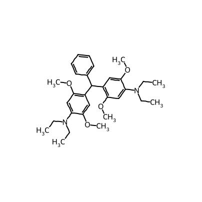 CCN(CC)c1cc(OC)c(C(c2ccccc2)c2cc(OC)c(N(CC)CC)cc2OC)cc1OC